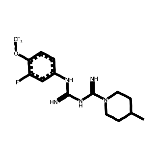 CC1CCN(C(=N)NC(=N)Nc2ccc(OC(F)(F)F)c(F)c2)CC1